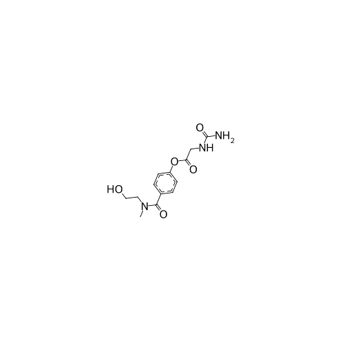 CN(CCO)C(=O)c1ccc(OC(=O)CNC(N)=O)cc1